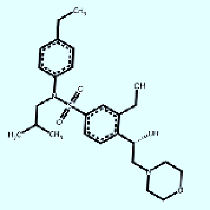 CCc1ccc(N(CC(C)C)S(=O)(=O)c2ccc([C@H](O)CN3CCOCC3)c(CO)c2)cc1